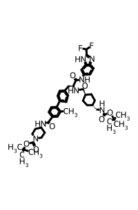 Cc1cc(C(=O)NC2CCN(C(=O)OC(C)(C)C)CC2)ccc1-c1ccc(C[C@H](NC(=O)[C@H]2CC[C@H](CNC(=O)OC(C)(C)C)CC2)C(=O)Nc2ccc3nc(C(F)F)[nH]c3c2)cc1